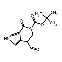 CC(C)(C)OC(=O)N1CC(C=O)c2c[nH]cc2C1=O